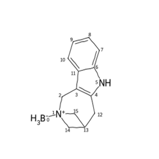 [BH3-][N+]12Cc3c([nH]c4ccccc34)CC(C1)C2